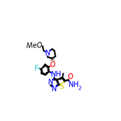 COCCN1CCC[C@H](Oc2cc(F)ccc2Nc2ncnc3sc(C(N)=O)c(C)c23)C1